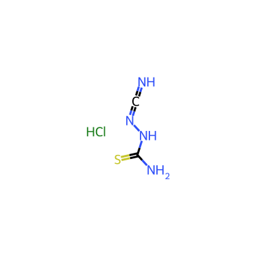 Cl.N=C=NNC(N)=S